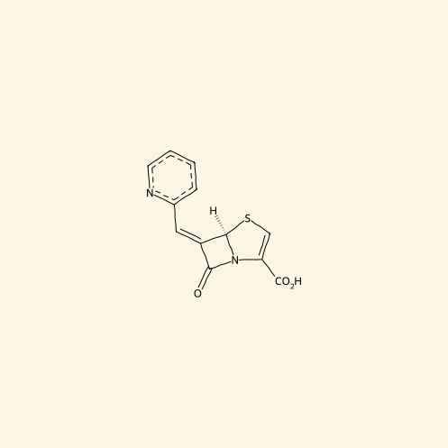 O=C(O)C1=CS[C@@H]2/C(=C\c3ccccn3)C(=O)N12